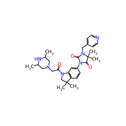 CC1CN(CC(=O)N2CC(C)(C)c3ccc(N4C(=O)N(Cc5ccncc5)C(C)(C)C4=O)cc32)CC(C)N1